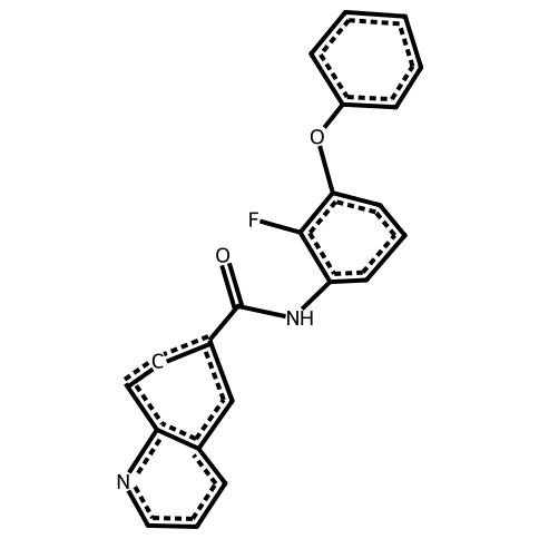 O=C(Nc1cccc(Oc2ccccc2)c1F)c1ccc2ncccc2c1